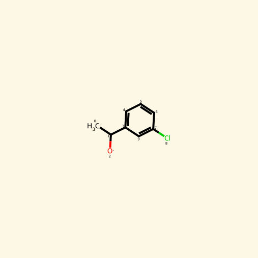 CC([O])c1cccc(Cl)c1